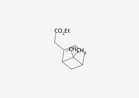 CCOC(=O)CC1=CCC2CC1C2(C)C